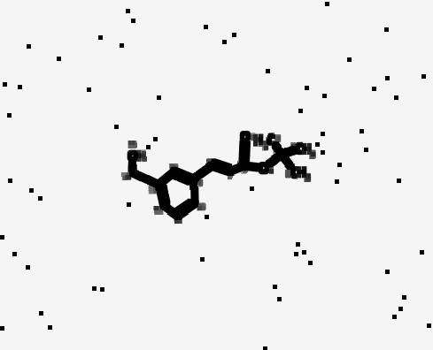 CC(C)(C)OC(=O)C=Cc1cccc(CO)c1